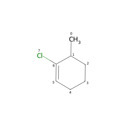 CC1CCCC=C1Cl